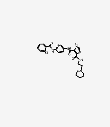 O=C(Nc1ccc(NC(=O)c2[nH]cnc2C(=O)NCCN2CCCCC2)cn1)c1ccccc1Cl